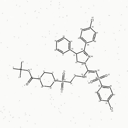 CC(C)(C)OC(=O)N1CCN(S(=O)(=O)CCN/C(=N\S(=O)(=O)c2ccc(Cl)cc2)N2CC(c3ccccc3)C(c3ccc(Cl)cc3)=N2)CC1